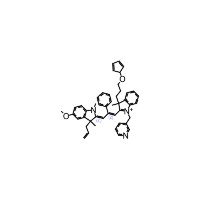 C=CCC1(C)/C(=C/C(=C/C2=[N+](Cc3cccnc3)c3ccccc3C2(C)CCCOC2C=CC=C2)c2ccccc2)N(C)c2ccc(OC)cc21